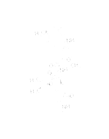 CO[C@@H](Cc1c[nH]c2ccc(C)cc12)C(=O)N[C@@H](CCC(=O)C=N)C(=O)OC(C)C